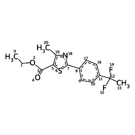 CCOC(=O)c1sc(-c2ccc(C(C)(F)F)cc2)nc1C